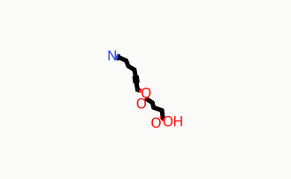 N#CCCCC#CCOC(=O)CCCC(=O)O